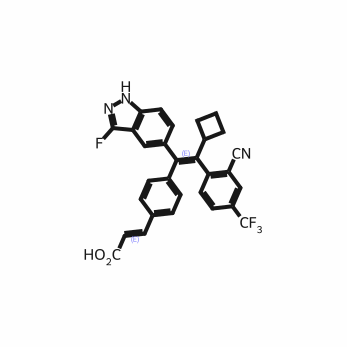 N#Cc1cc(C(F)(F)F)ccc1/C(=C(\c1ccc(/C=C/C(=O)O)cc1)c1ccc2[nH]nc(F)c2c1)C1CCC1